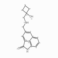 O=C1Nc2cccc3cc(CNCC4(O)CCC4)cc1c23